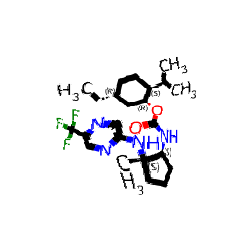 CC[C@@H]1CC[C@@H](C(C)C)[C@H](OC(=O)N[C@H]2CCC[C@]2(C)Nc2cnc(C(F)(F)F)cn2)C1